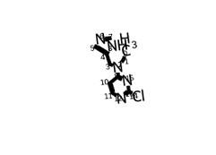 CCN(Cc1cnc[nH]1)c1ccnc(Cl)n1